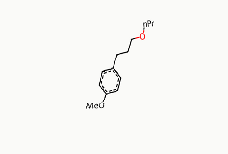 CCCOCCCc1ccc(OC)cc1